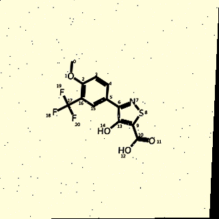 COc1ccc(-c2nsc(C(=O)O)c2O)cc1C(F)(F)F